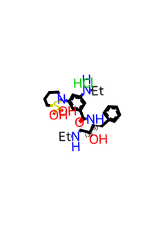 CCNC[C@H](O)[C@H](Cc1ccccc1)NC(=O)c1cc(NCC)cc(N2CCCCS2(O)O)c1.Cl